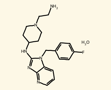 NCCN1CCC(Nc2nc3ncccc3n2Cc2ccc(F)cc2)CC1.O